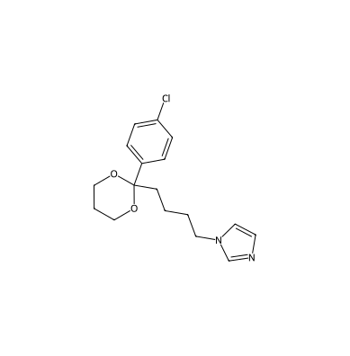 Clc1ccc(C2(CCCCn3ccnc3)OCCCO2)cc1